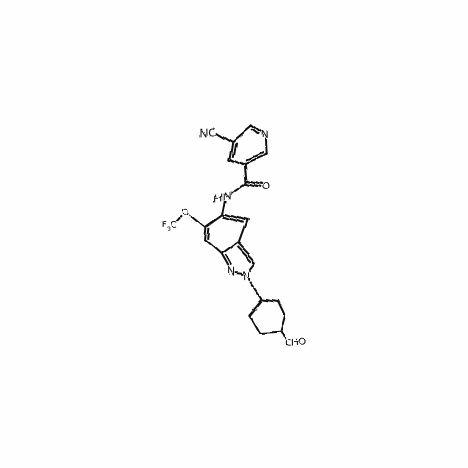 N#Cc1cncc(C(=O)Nc2cc3cn(C4CCC(C=O)CC4)nc3cc2OC(F)(F)F)c1